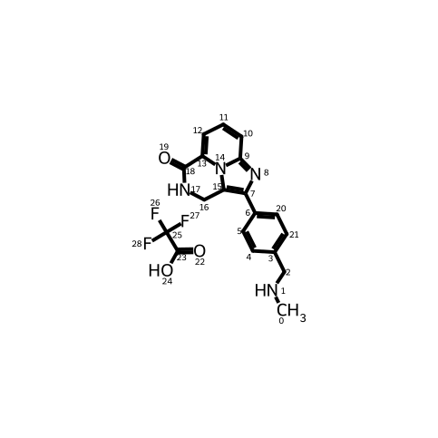 CNCc1ccc(-c2nc3cccc4n3c2CNC4=O)cc1.O=C(O)C(F)(F)F